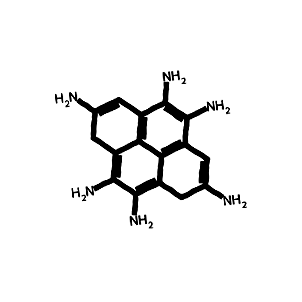 NC1=Cc2c(N)c(N)c3c4c(c(N)c(N)c(c24)C1)CC(N)=C3